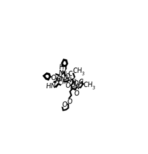 CC(C)CNC(=O)C(CCCOC1CCCCO1)C[C@H](O)[C@H](CC(C)C)NC(=O)[C@H](Cc1c[nH]cn1)NC(=O)[C@H](Cc1ccccc1)NC(=O)COc1ccccc1